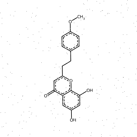 COc1ccc(CCc2cc(=O)c3cc(O)cc(O)c3o2)cc1